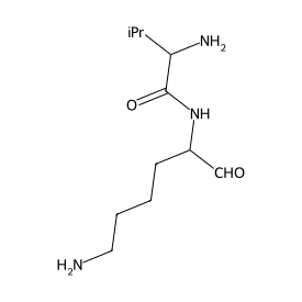 CC(C)C(N)C(=O)NC(C=O)CCCCN